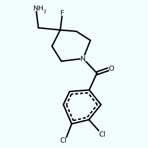 NCC1(F)CCN(C(=O)c2ccc(Cl)c(Cl)c2)CC1